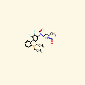 CCP(CC)c1ccccc1-c1ccc(N(C=O)CCC(C)NC=O)c(F)c1F